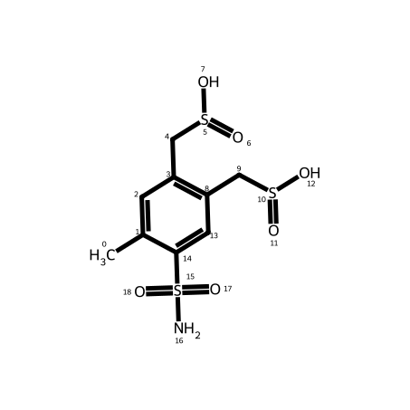 Cc1cc(CS(=O)O)c(CS(=O)O)cc1S(N)(=O)=O